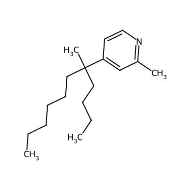 CCCCCCC(C)(CCCC)c1ccnc(C)c1